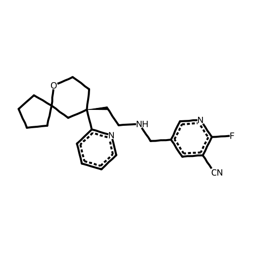 N#Cc1cc(CNCC[C@]2(c3ccccn3)CCOC3(CCCC3)C2)cnc1F